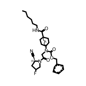 CCCCCCNC(=O)C12CCC(N(CC(=O)N3CC(F)C[C@H]3C#N)C(=O)OCc3ccccc3)(CC1)CC2